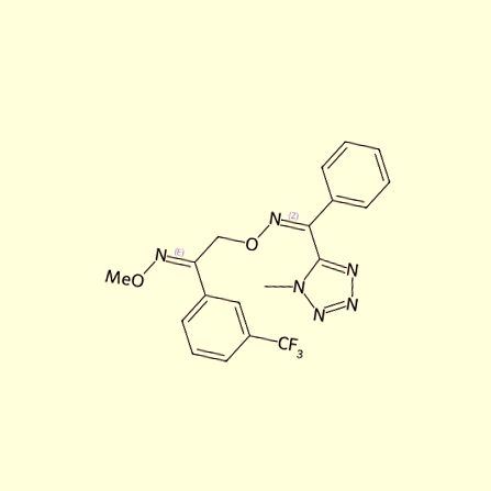 CO/N=C(/CO/N=C(/c1ccccc1)c1nnnn1C)c1cccc(C(F)(F)F)c1